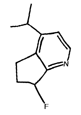 CC(C)c1ccnc2c1CCC2F